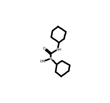 O=NN(C(=O)NC1CCCCC1)C1CCCCC1